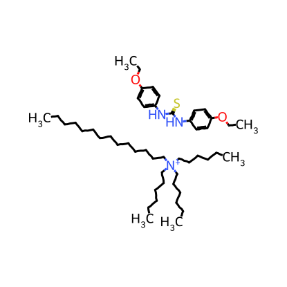 CCCCCCCCCCCCCC[N+](CCCCCC)(CCCCCC)CCCCCC.CCOc1ccc(NC(=S)Nc2ccc(OCC)cc2)cc1